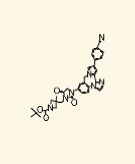 CC1(CN2C(=O)CN(c3ccc4c(c3)Cn3cc(-c5ccc(C#N)cc5)cc3-c3nccn3-4)C2=O)CN(C(=O)OC(C)(C)C)C1